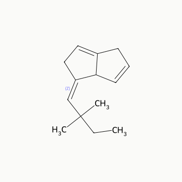 CCC(C)(C)/C=C1/CC=C2CC=CC21